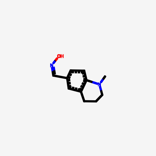 CN1CCCc2cc(/C=N\O)ccc21